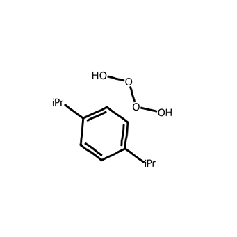 CC(C)c1ccc(C(C)C)cc1.OOOO